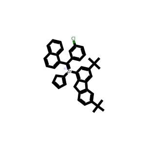 CC(C)(C)c1ccc2c(c1)-c1cc(C(C)(C)C)c[c](/[Zr]([C]3=CC=CC3)=[C](\c3cccc(Cl)c3)c3cccc4ccccc34)c1C2